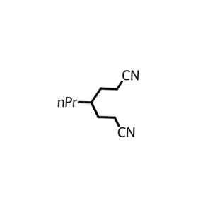 CCCC(CCC#N)CCC#N